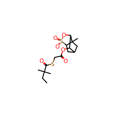 CCC(C)(C)C(=O)SCC(=O)OC1C2CC3C(C)(C2)C1OS3(=O)=O